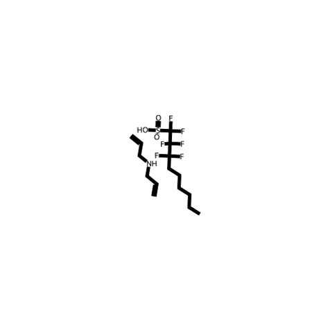 C=CCNCC=C.CCCCCCC(F)(F)C(F)(F)C(F)(F)S(=O)(=O)O